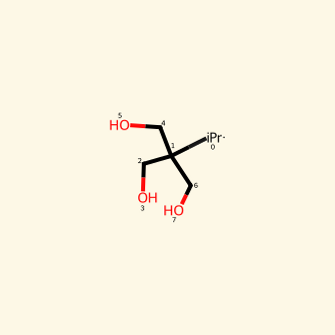 C[C](C)C(CO)(CO)CO